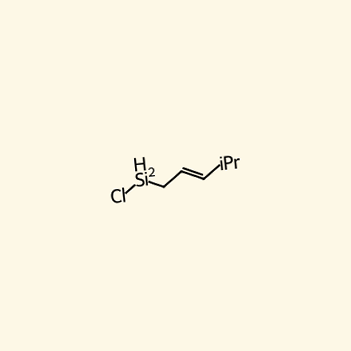 CC(C)C=CC[SiH2]Cl